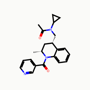 CC(=O)N(C[C@H]1C[C@@H](C)N(C(=O)c2cccnc2)c2ccccc21)C1CC1